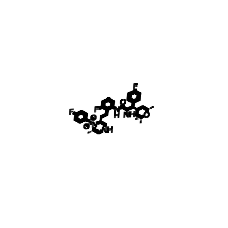 C[C@@H]1CC([C@H](c2ccc(F)cc2)[C@H](N)C(=O)Nc2cccc(F)c2CC[C@H]2CNC[C@H](C)N2S(=O)(=O)c2ccc(F)cc2)C[C@H](C)O1